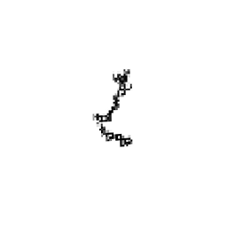 Cn1c2ccncc2c2ccc(-c3ccc(OC4CC(Oc5cnc(C#CC(C)(C)OCCOc6ccc7c(c6)CN(C6CCC(=O)NC6=O)C7=O)cc5C#N)C4)nc3)cc21